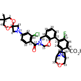 CC1(C)COC2(CN(c3ccc(C(=O)N4COc5c(cccc5-c5cc(N6C7CCC6COC7)c(C(=O)O)cc5F)C4)c(Cl)c3)C2)OC1